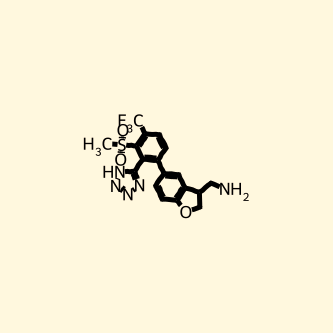 CS(=O)(=O)c1c(C(F)(F)F)ccc(-c2ccc3c(c2)C(CN)CO3)c1-c1nnn[nH]1